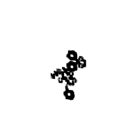 CC(C)(c1ccc(C2(c3ccccc3)OCCO2)cc1)[C@H](N=[N+]=[N-])C(=O)N1C(=O)OC[C@@H]1Cc1ccccc1